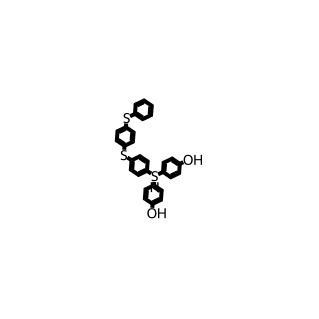 Oc1ccc([SH](c2ccc(O)cc2)c2ccc(Sc3ccc(Sc4ccccc4)cc3)cc2)cc1